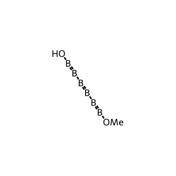 COB=BB=BB=BO